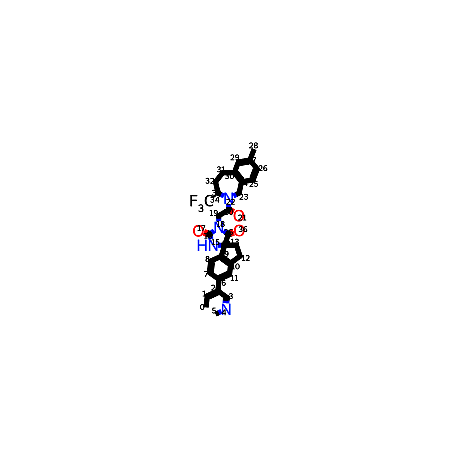 C/C=C(\C=N/C)c1ccc2c(c1)CCC21NC(=O)N(CC(=O)N2Cc3ccc(C)cc3CC[C@H]2C(F)(F)F)C1=O